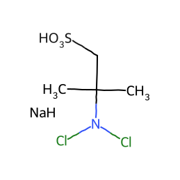 CC(C)(CS(=O)(=O)O)N(Cl)Cl.[NaH]